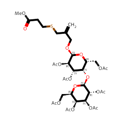 C=C(CO[C@H]1O[C@H](COC(C)=O)[C@H](O[C@@H]2O[C@H](COC(C)=O)[C@H](OC(C)=O)[C@H](OC(C)=O)[C@H]2OC(C)=O)[C@H](OC(C)=O)[C@H]1OC(C)=O)CSCCC(=O)OC